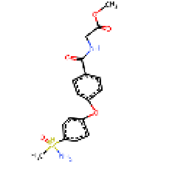 COC(=O)CNC(=O)c1ccc(Oc2ccc([SH](C)(N)=O)cc2)cc1